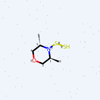 C[C@H]1COC[C@H](C)N1SS